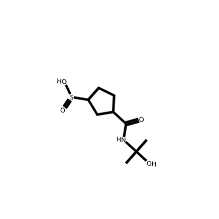 CC(C)(O)NC(=O)C1CCC(S(=O)O)C1